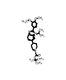 COc1ccc(-c2nc3ccc(C4CCN(C(=O)OC(C)(C)C)CC4)cc3n2C(C)C)cc1OC